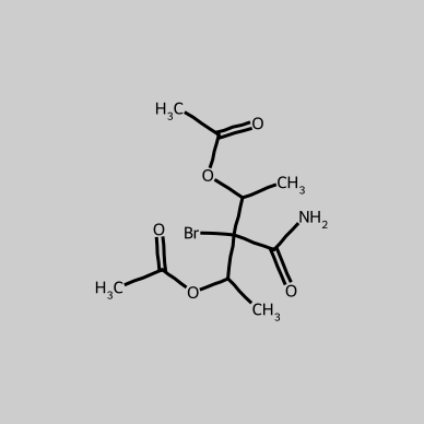 CC(=O)OC(C)C(Br)(C(N)=O)C(C)OC(C)=O